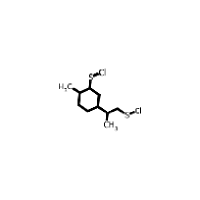 CC(CSCl)C1CCC(C)C(SCl)C1